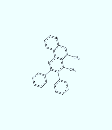 Cc1cc2ncccc2c2nc(-c3ccccc3)c(-c3ccccc3)c(C)c12